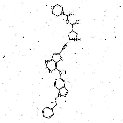 O=C(OC(=O)N1CCOCC1)[C@H]1CN[C@H](C#Cc2cc3ncnc(Nc4ccc5c(ccn5CCc5ccccc5)c4)c3s2)C1